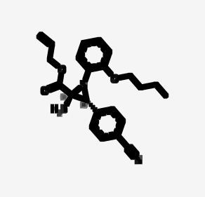 B[C@]1(C(=O)OCC=C)[C@@H](c2ccc(C#N)cc2)N1c1ccccc1OCCCC